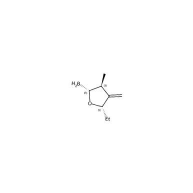 B[C@H]1O[C@@H](CC)C(=C)[C@@H]1C